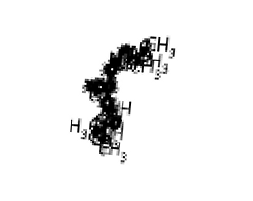 COC(=O)N[C@H](C(=O)N1CCCC1c1nc2ccc(-c3ccc(-c4ccc5nc([C@@H]6CCCN6C(=O)[C@@H](NC(=O)OC)C(C)C)[nH]c5c4)c4c3C(=O)C3(CCCC3)C4)cc2[nH]1)C(C)C